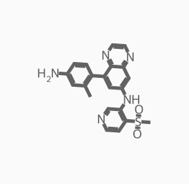 Cc1cc(N)ccc1-c1cc(Nc2cnccc2S(C)(=O)=O)cc2nccnc12